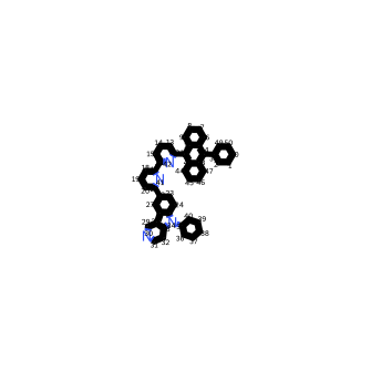 c1ccc(-c2c3ccccc3c(-c3cccc(-c4cccc(-c5ccc6c(c5)c5cnccc5n6-c5ccccc5)n4)n3)c3ccccc23)cc1